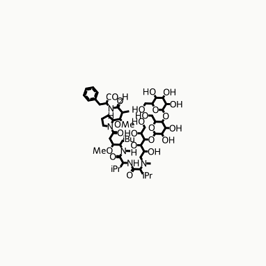 CCC(C)C(C(CC(=O)N1CCCC1C(OC)C(C)C(=O)NC(Cc1ccccc1)C(=O)O)OC)N(C)C(=O)C(NC(=O)C(C(C)C)N(C)CC(O)C(O)C(OC1OC(CO)C(OC2OC(CO)C(O)C(O)C2O)C(O)C1O)C(O)CO)C(C)C